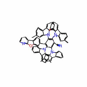 Cc1ccc2c3ccccc3n(-c3c(C#N)c(-n4c5ccccc5c5ccc(C)cc54)c(-n4c5ccccc5c5ccc(C)cc54)c(-c4ccc5c(c4)oc4ncccc45)c3-n3c4ccccc4c4ccc(C)cc43)c2c1